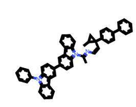 C/C(=N\C=C/C1(c2ccc(-c3ccccc3)cc2)CC1C)n1c2ccccc2c2cc(-c3ccc4c(c3)c3ccccc3n4-c3ccccc3)ccc21